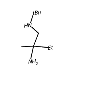 CCC(C)(N)CNC(C)(C)C